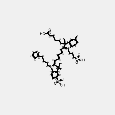 Cc1ccc2c(c1)C(C)(CCCCCC(=O)O)C(/C=C/C=C/C=C1/N(CCCCc3cccs3)c3ccc(S(=O)(=O)O)cc3C1(C)C)=[N+]2CCCS(=O)(=O)O